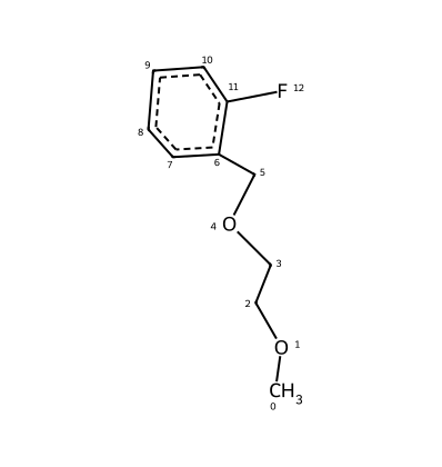 COCCOCc1ccccc1F